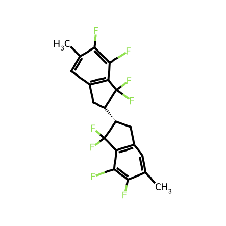 Cc1cc2c(c(F)c1F)C(F)(F)C([C@@H]1Cc3cc(C)c(F)c(F)c3C1(F)F)C2